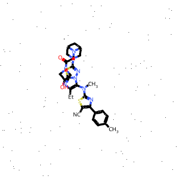 CCc1nc2sc(N3CC4CC(C3)N4CC(=O)N3CC(O)C3)nn2c1N(C)c1nc(-c2ccc(C)cc2)c(C#N)s1